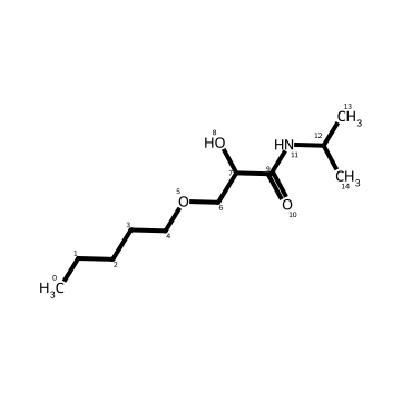 CCCCCOCC(O)C(=O)NC(C)C